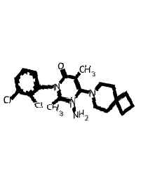 CC1=C(N2CCC3(CCC3)CC2)N(N)C(C)N(c2cccc(Cl)c2Cl)C1=O